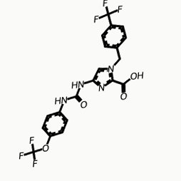 O=C(Nc1ccc(OC(F)(F)F)cc1)Nc1cn(Cc2ccc(C(F)(F)F)cc2)c(C(=O)O)n1